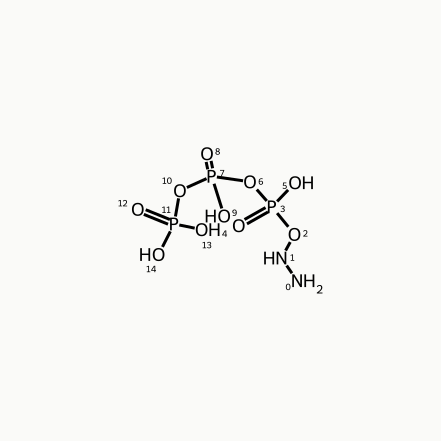 NNOP(=O)(O)OP(=O)(O)OP(=O)(O)O